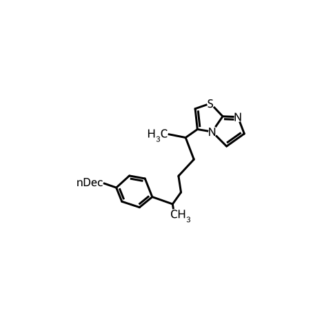 CCCCCCCCCCc1ccc(C(C)CCCC(C)c2csc3nccn23)cc1